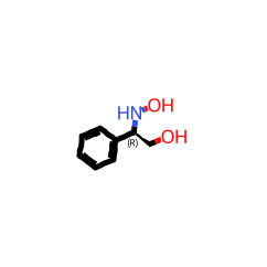 OC[C@H](NO)c1ccccc1